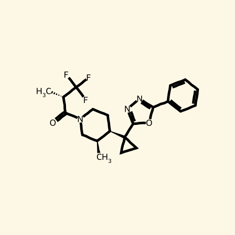 C[C@H]1CN(C(=O)[C@H](C)C(F)(F)F)CC[C@H]1C1(c2nnc(-c3ccccc3)o2)CC1